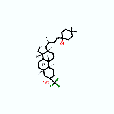 C[C@H](CCC1(O)CCC(C)(C)CC1)[C@H]1CC[C@H]2[C@@H]3CC[C@H]4C[C@](O)(C(F)(F)F)CC[C@]4(C)[C@H]3CC[C@]12C